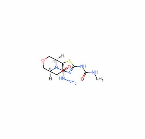 CNC(=O)Nc1nc2c(s1)[C@@H]1COC[C@H](C2)N1C(=O)NN